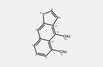 CC(=O)Oc1cccc2cc3sccc3c(OC(C)=O)c12